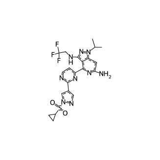 CC(C)n1nc(NCC(F)(F)F)c2c(-c3ccnc(-c4cnn(S(=O)(=O)C5CC5)c4)n3)nc(N)cc21